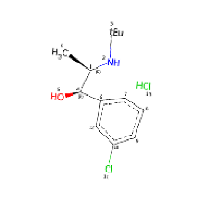 C[C@@H](NC(C)(C)C)[C@H](O)c1cccc(Cl)c1.Cl